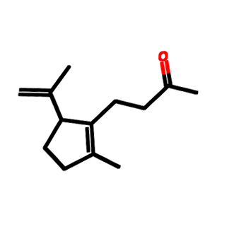 C=C(C)C1CCC(C)=C1CCC(C)=O